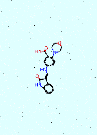 O=C1Nc2ccccc2C1=CNc1ccc(N2CCOCC2)c(C(=O)O)c1